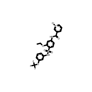 CCOc1cc(NC(=O)c2ccc[n+]([O-])c2)ccc1S(=O)(=O)Nc1cccc(OC(F)(F)F)c1